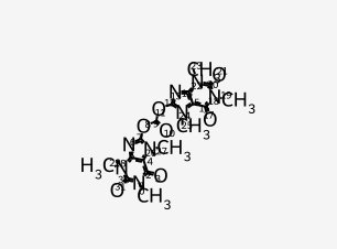 Cn1c(=O)c2c(nc(OC(=O)Oc3nc4c(c(=O)n(C)c(=O)n4C)n3C)n2C)n(C)c1=O